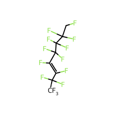 FCC(F)(F)C(F)(F)C(F)(F)C(F)=C(F)C(F)(F)C(F)(F)F